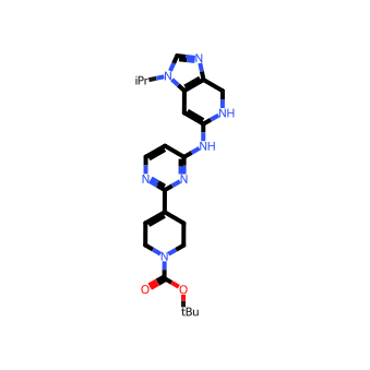 CC(C)n1cnc2c1C=C(Nc1ccnc(C3=CCN(C(=O)OC(C)(C)C)CC3)n1)NC2